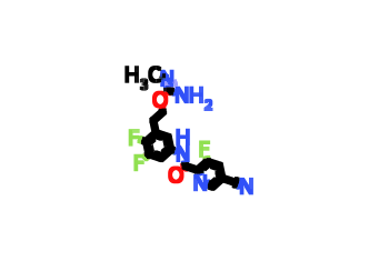 C/N=C(/N)OCCc1cc(NC(=O)c2ncc(C#N)cc2F)cc(F)c1F